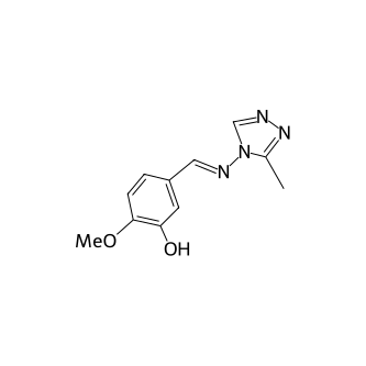 COc1ccc(C=Nn2cnnc2C)cc1O